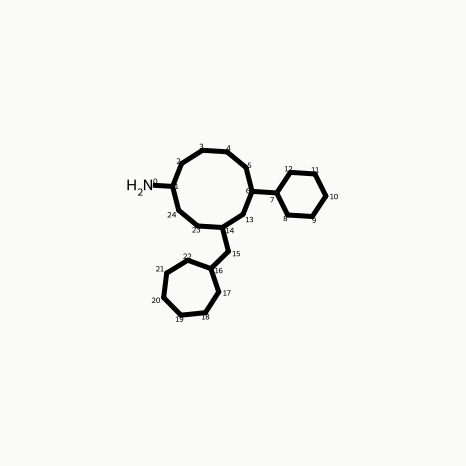 NC1CCCCC(C2CCCCC2)CC(CC2CCCCCC2)CC1